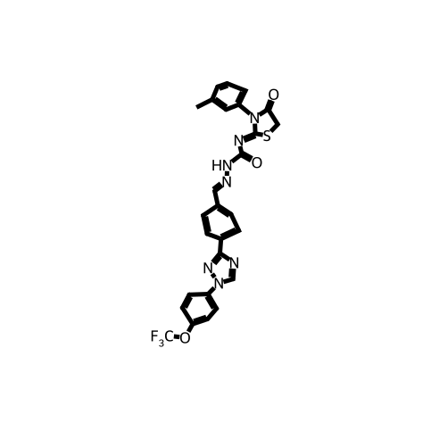 Cc1cccc(N2C(=O)CS/C2=N\C(=O)N/N=C/c2ccc(-c3ncn(-c4ccc(OC(F)(F)F)cc4)n3)cc2)c1